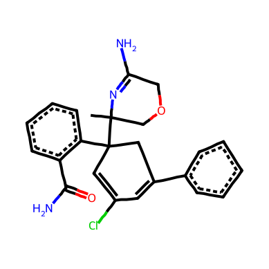 CC1(C2(c3ccccc3C(N)=O)C=C(Cl)C=C(c3ccccc3)C2)COCC(N)=N1